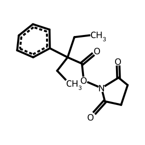 CCC(CC)(C(=O)ON1C(=O)CCC1=O)c1ccccc1